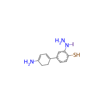 NC1=CC=C(c2ccc(S)c(N(N)I)c2)CC1